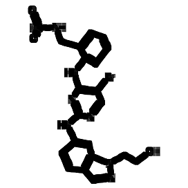 O=[SH](=O)NCc1ccccc1Nc1nc(Nc2ccc3cnn(CCO)c3c2)ncc1Br